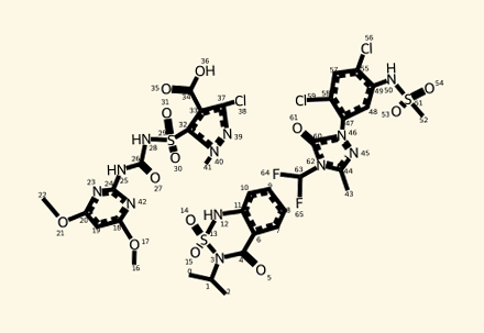 CC(C)N1C(=O)c2ccccc2NS1(=O)=O.COc1cc(OC)nc(NC(=O)NS(=O)(=O)c2c(C(=O)O)c(Cl)nn2C)n1.Cc1nn(-c2cc(NS(C)(=O)=O)c(Cl)cc2Cl)c(=O)n1C(F)F